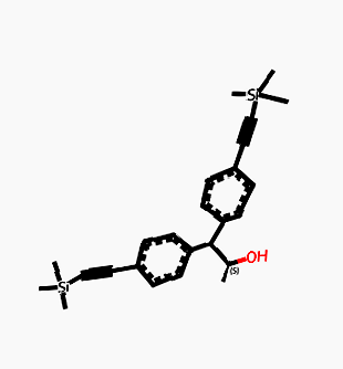 C[C@H](O)C(c1ccc(C#C[Si](C)(C)C)cc1)c1ccc(C#C[Si](C)(C)C)cc1